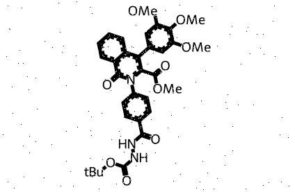 COC(=O)c1c(-c2cc(OC)c(OC)c(OC)c2)c2ccccc2c(=O)n1-c1ccc(C(=O)NNC(=O)OC(C)(C)C)cc1